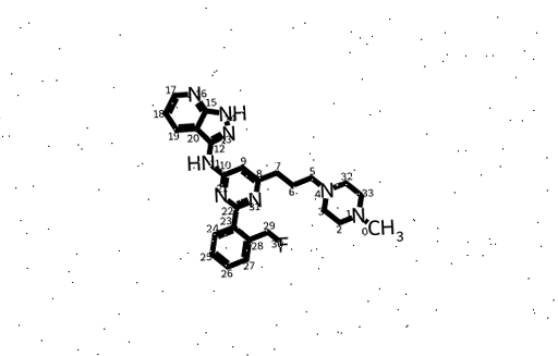 CN1CCN(CCCc2cc(Nc3n[nH]c4ncccc34)nc(-c3ccccc3CF)n2)CC1